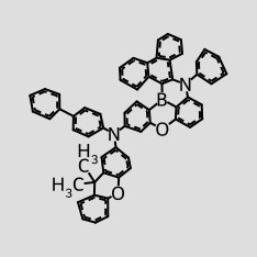 CC1(C)c2ccccc2Oc2ccc(N(c3ccc(-c4ccccc4)cc3)c3ccc4c(c3)Oc3cccc5c3B4c3c(c4ccccc4c4ccccc34)N5c3ccccc3)cc21